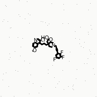 COc1ccc2ncc(Cl)c(CCCC3(CC(=O)O)CCN(CC#Cc4cc(F)cc(F)c4F)CC3)c2c1